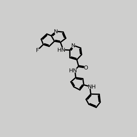 O=C(Nc1cccc(Nc2ccccc2)c1)c1ccnc(Nc2ccnc3ccc(F)cc23)c1